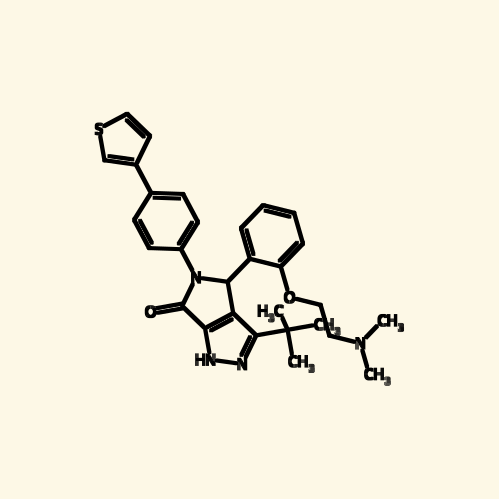 CN(C)CCOc1ccccc1C1c2c(C(C)(C)C)n[nH]c2C(=O)N1c1ccc(-c2ccsc2)cc1